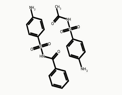 CC(=O)NS(=O)(=O)c1ccc(N)cc1.Nc1ccc(S(=O)(=O)NC(=O)c2ccccc2)cc1